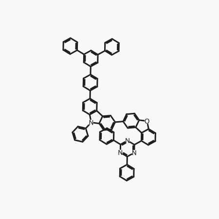 c1ccc(-c2cc(-c3ccccc3)cc(-c3ccc(-c4ccc5c(c4)c4cc(-c6ccc7oc8cccc(-c9nc(-c%10ccccc%10)nc(-c%10ccccc%10)n9)c8c7c6)ccc4n5-c4ccccc4)cc3)c2)cc1